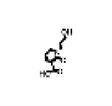 O=C(O)c1cccn(CCCO)c1=O